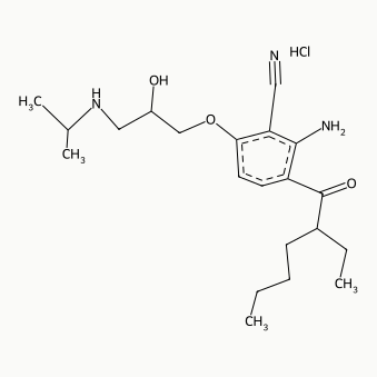 CCCCC(CC)C(=O)c1ccc(OCC(O)CNC(C)C)c(C#N)c1N.Cl